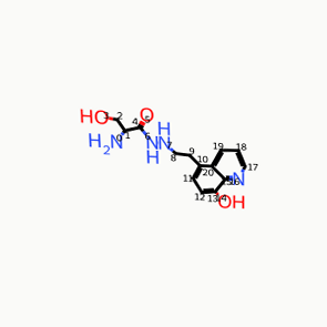 NC(CO)C(=O)NNCCc1ccc(O)c2ncccc12